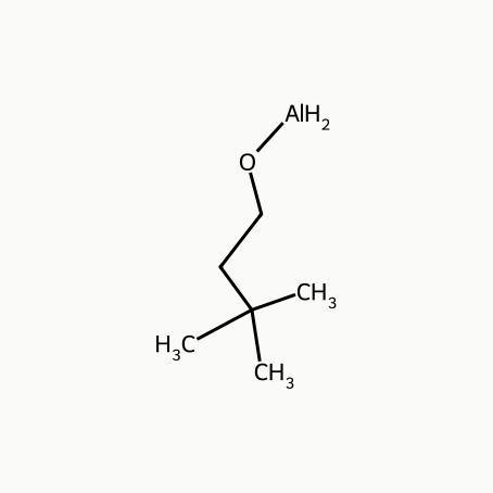 CC(C)(C)CC[O][AlH2]